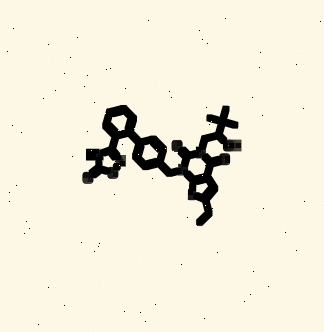 CCc1cc2c(=O)n(CC(O)C(C)(C)C)c(=O)n(Cc3ccc(-c4ccccc4-c4noc(=O)[nH]4)cc3)c2s1